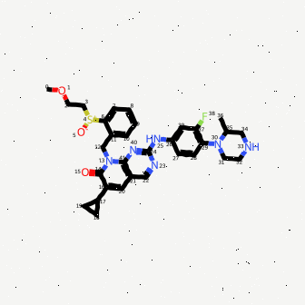 COCC[S+]([O-])c1ccccc1Cn1c(=O)c(C2CC2)cc2cnc(Nc3ccc(N4CCNCC4C)c(F)c3)nc21